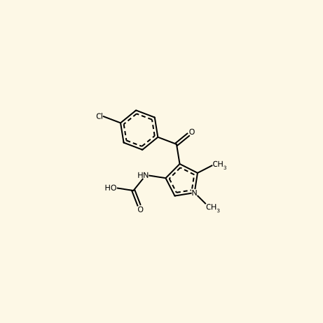 Cc1c(C(=O)c2ccc(Cl)cc2)c(NC(=O)O)cn1C